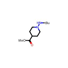 COC(=O)C1CCN(NC(C)(C)C)CC1